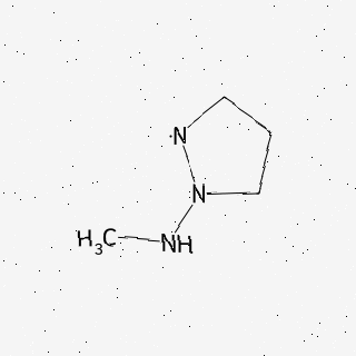 CNN1CCC[N]1